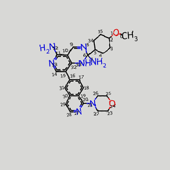 COC1CCC(C2(N)N=Cc3c(N)ncc(-c4ccc5c(N6CCOCC6)nccc5c4)c3N2)CC1